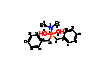 CCN(CC)P(O)(O)(Cc1ccccc1)Cc1ccccc1